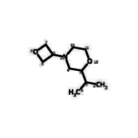 CC(C)C1CN(C2COC2)CCO1